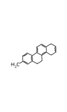 [CH2]c1ccc2c(c1)CCc1c-2ccc2c1CC=CC2